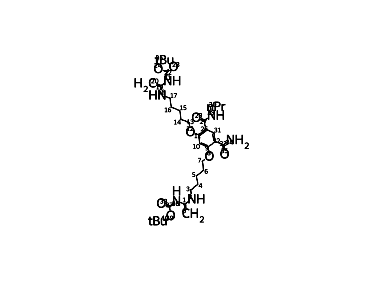 C=C(NCCCCCOc1cc(OCCCCCNC(=C)NC(=O)OC(C)(C)C)c(C(=O)NCCC)cc1C(N)=O)NC(=O)OC(C)(C)C